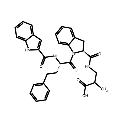 CC(CNC(=O)[C@@H]1Cc2ccccc2N1C(=O)[C@H](CCc1ccccc1)NC(=O)c1cc2ccccc2[nH]1)C(=O)O